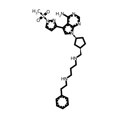 CS(=O)(=O)n1ccc(-c2cn([C@H]3CC[C@@H](CNCCCNCCc4ccccc4)C3)c3ncnc(N)c23)n1